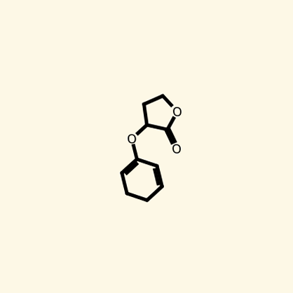 O=C1OCCC1OC1=CCCC=C1